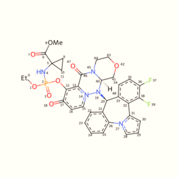 CCOP(=O)(NC1(C(=O)OC)CC1)Oc1c2n(ccc1=O)N([C@@H]1c3ccccc3-n3cccc3-c3c1ccc(F)c3F)[C@@H]1COCCN1C2=O